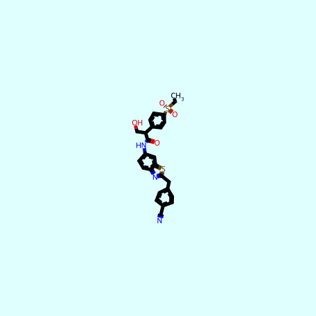 CCS(=O)(=O)c1ccc(C(CO)C(=O)Nc2ccc3nc(Cc4ccc(C#N)cc4)sc3c2)cc1